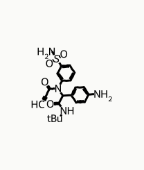 C#CC(=O)N(c1cccc(S(N)(=O)=O)c1)C(C(=O)NC(C)(C)C)c1ccc(N)cc1